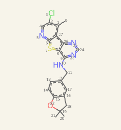 Cc1c(Cl)cnc2sc3c(NCc4ccc5c(c4)CC(C)(C)O5)ncnc3c12